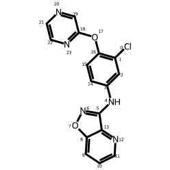 Clc1cc(Nc2noc3cccnc23)ccc1Oc1cnccn1